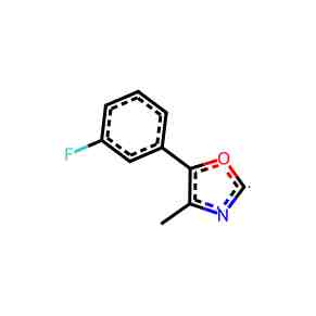 Cc1n[c]oc1-c1cccc(F)c1